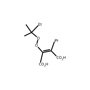 CCC(C)(C)OOC(C(=O)O)=C(C(=O)O)C(C)C